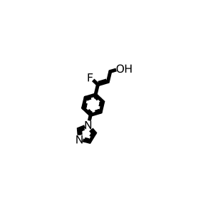 OCC=C(F)c1ccc(-n2ccnc2)cc1